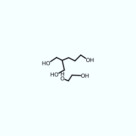 OCCCC(CO)CO.OCCO